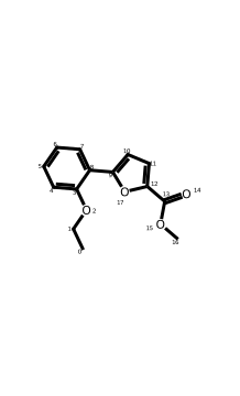 CCOc1ccccc1-c1ccc(C(=O)OC)o1